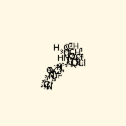 CC(C)(C)OC(=O)NC(CCN1CCC2(CC1)CCN(Cc1cccnc1)C2=O)c1ccc(Cl)c(Cl)c1